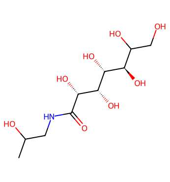 CC(O)CNC(=O)[C@H](O)[C@@H](O)[C@H](O)[C@H](O)C(O)CO